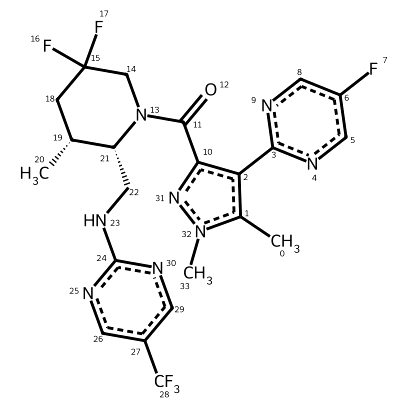 Cc1c(-c2ncc(F)cn2)c(C(=O)N2CC(F)(F)C[C@@H](C)[C@H]2CNc2ncc(C(F)(F)F)cn2)nn1C